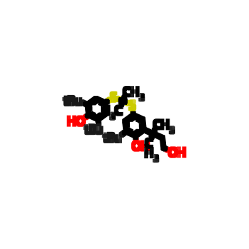 CC(C)(Sc1cc(C(C)(C)C)c(O)c(C(C)(C)C)c1)Sc1cc(C(C)(C)C)c(O)c(C(C)(C)CCO)c1